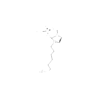 CCCCCCCCCCCCCCCCN1C=CN(C)C1OS(=O)(=O)C(F)(F)F